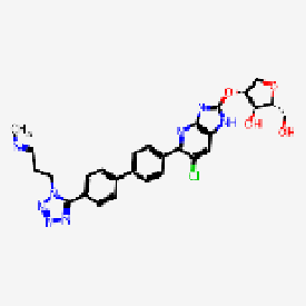 C/N=C/CCn1nnnc1-c1ccc(-c2ccc(-c3nc4nc(O[C@@H]5CO[C@H](CO)[C@H]5O)[nH]c4cc3Cl)cc2)cc1